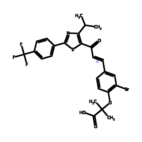 CC(C)c1nc(-c2ccc(C(F)(F)F)cc2)sc1C(=O)/C=C/c1ccc(OC(C)(C)C(=O)O)c(Br)c1